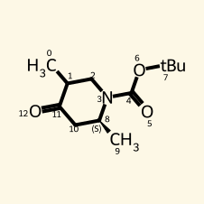 CC1CN(C(=O)OC(C)(C)C)[C@@H](C)CC1=O